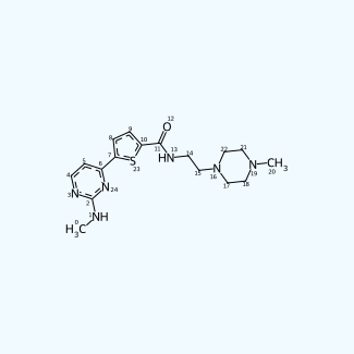 CNc1nccc(-c2ccc(C(=O)NCCN3CCN(C)CC3)s2)n1